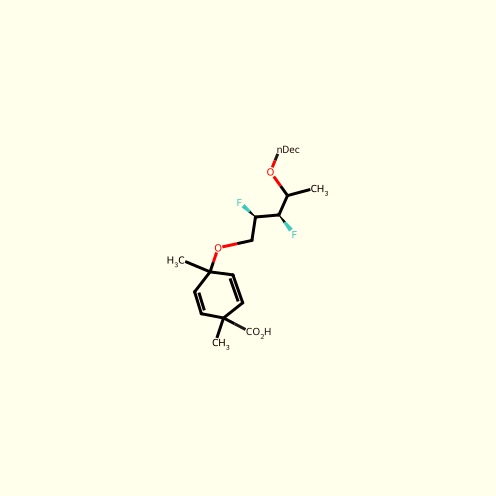 CCCCCCCCCCOC(C)[C@@H](F)[C@H](F)COC1(C)C=CC(C)(C(=O)O)C=C1